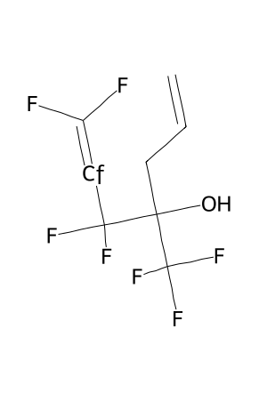 C=CCC(O)(C(F)(F)F)[C](F)(F)[Cf]=[C](F)F